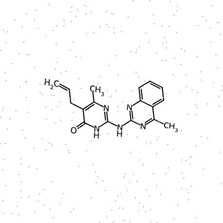 C=CCc1c(C)nc(Nc2nc(C)c3ccccc3n2)[nH]c1=O